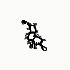 CN1C(=O)CC[C@]2(C)c3ccc(Br)cc3CC[C@@H]12